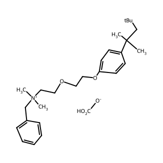 CC(C)(C)CC(C)(C)c1ccc(OCCOCC[N+](C)(C)Cc2ccccc2)cc1.O=C([O-])O